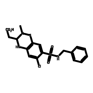 CN1Sc2cc(S(=O)(=O)NCc3ccccc3)c(Cl)cc2NC1CC(=O)O